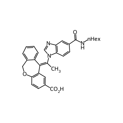 CCCCCCNC(=O)c1ccc2c(c1)ncn2C(C)=C1c2ccccc2COc2ccc(C(=O)O)cc21